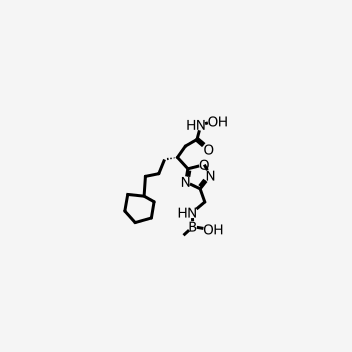 CB(O)NCc1noc([C@H](CCCC2CCCCC2)CC(=O)NO)n1